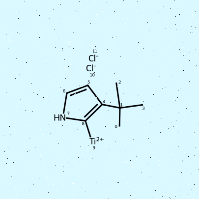 CC(C)(C)c1cc[nH][c]1[Ti+2].[Cl-].[Cl-]